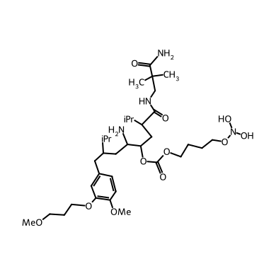 COCCCOc1cc(CC(CC(N)C(CC(C(=O)NCC(C)(C)C(N)=O)C(C)C)OC(=O)OCCCCON(O)O)C(C)C)ccc1OC